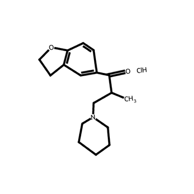 CC(CN1CCCCC1)C(=O)c1ccc2c(c1)CCO2.Cl